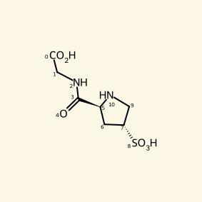 O=C(O)CNC(=O)[C@@H]1C[C@@H](S(=O)(=O)O)CN1